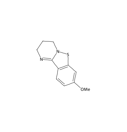 COc1ccc2c(c1)SN1CCCN=C21